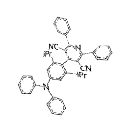 CC(C)c1cc(N(c2ccccc2)c2ccccc2)cc(C(C)C)c1-c1c(C#N)c(-c2ccccc2)nc(-c2ccccc2)c1C#N